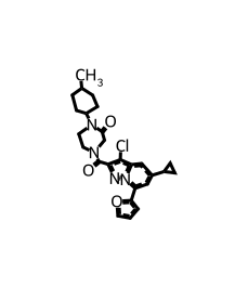 CC1CCC(N2CCN(C(=O)c3nn4c(-c5ccco5)cc(C5CC5)cc4c3Cl)CC2=O)CC1